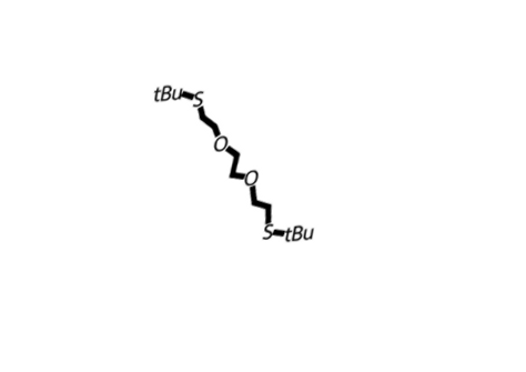 CC(C)(C)SCCOCCOCCSC(C)(C)C